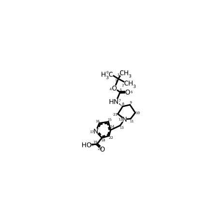 CC(C)(C)OC(=O)N[C@@H]1CCCN(Cc2ccnc(C(=O)O)c2)C1